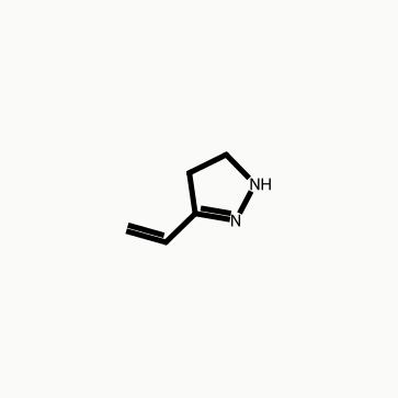 C=CC1=NNCC1